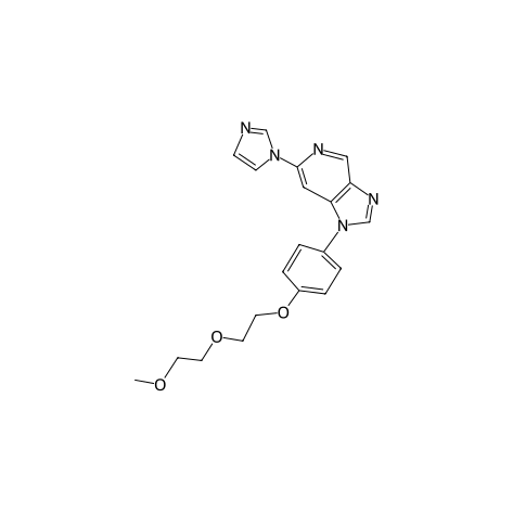 COCCOCCOc1ccc(-n2cnc3cnc(-n4ccnc4)cc32)cc1